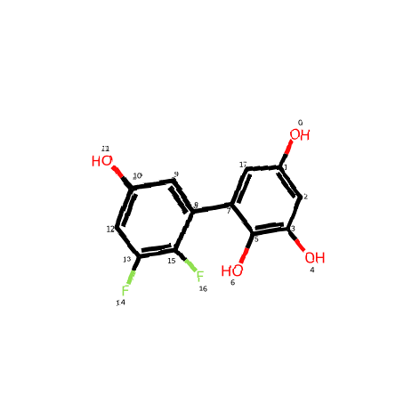 Oc1cc(O)c(O)c(-c2cc(O)cc(F)c2F)c1